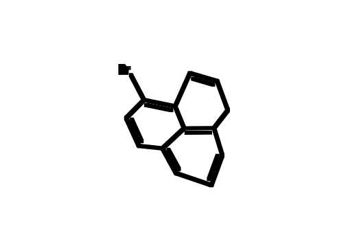 Brc1ccc2cccc3c2c1C=CC3